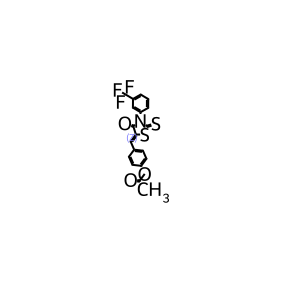 CC(=O)Oc1ccc(/C=C2\SC(=S)N(c3cccc(C(F)(F)F)c3)C2=O)cc1